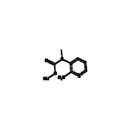 CN(C(=O)OC(C)(C)C)c1cccnc1[N+](=O)[O-]